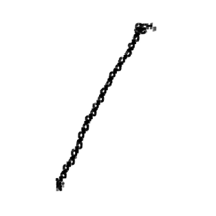 CS(=O)(=O)OCCOCCOCCOCCOCCOCCOCCOCCOCCOCCOCCOCCOCCOCCOCCOCCOCCOCCOCCOCCN=[N+]=[N-]